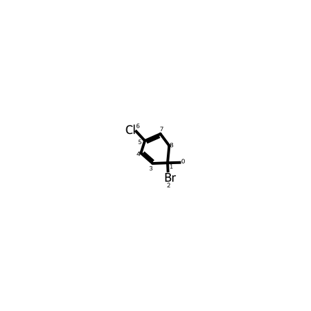 CC1(Br)C=CC(Cl)=CC1